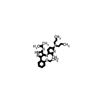 C=C(C)/N=C1\NN=C(c2ccccc2OCC)\C1=N\c1ccc(N(CCC)CCC)nc1C